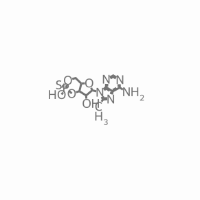 Cc1nc2c(N)ncnc2n1C1OC2COP(O)(=S)OC2C1O